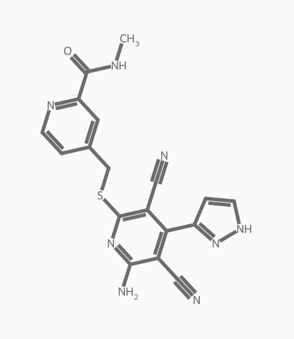 CNC(=O)c1cc(CSc2nc(N)c(C#N)c(-c3cc[nH]n3)c2C#N)ccn1